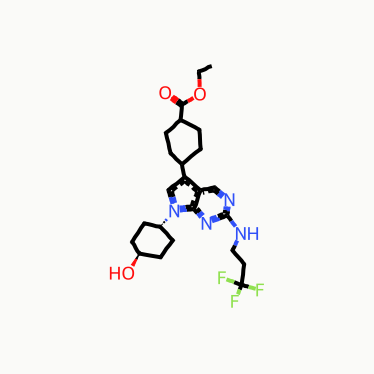 CCOC(=O)C1CCC(c2cn([C@H]3CC[C@H](O)CC3)c3nc(NCCC(F)(F)F)ncc23)CC1